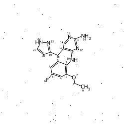 CCOc1cc(F)ccc1Nc1nc(N)ncc1Cc1cc[nH]n1